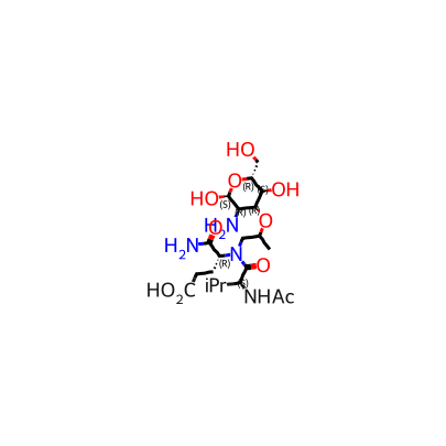 CC(=O)N[C@H](C(=O)N(CC(C)O[C@@H]1[C@@H](N)[C@@H](O)O[C@H](CO)[C@H]1O)[C@H](CCC(=O)O)C(N)=O)C(C)C